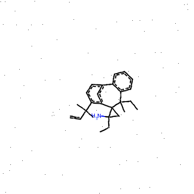 C=CC(C)(C)c1ccc2cc1C1(CC1(N)CC)C(C)(CC)c1ccccc1-2